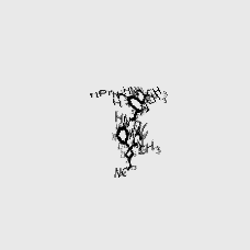 CCCNCc1cc(C(=O)Nc2cccc(C3(c4nncn4C)CC(CC#N)C3)c2)nc2c1NCC2(C)C